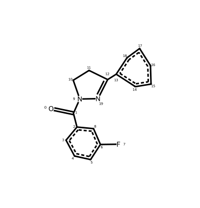 O=C(c1cccc(F)c1)N1CCC(c2ccccc2)=N1